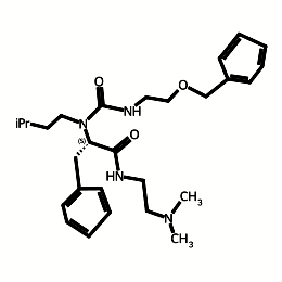 CC(C)CCN(C(=O)NCCOCc1ccccc1)[C@@H](Cc1ccccc1)C(=O)NCCN(C)C